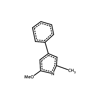 COc1cc(-c2ccccc2)cc(C)n1